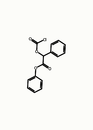 O=C(Cl)OC(C(=O)Oc1ccccc1)c1ccccc1